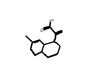 C=C(C(=O)O)C1CCCC2CCC(C)=CC21